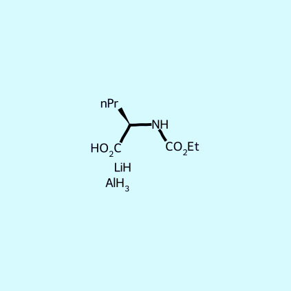 CCC[C@@H](NC(=O)OCC)C(=O)O.[AlH3].[LiH]